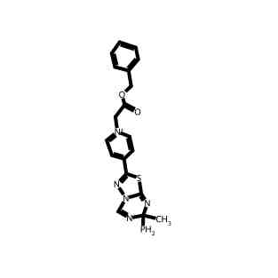 CC1(P)N=CN2N=C(c3cc[n+](CC(=O)OCc4ccccc4)cc3)SC2=N1